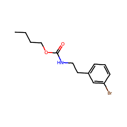 CCCCOC(=O)NCCc1cccc(Br)c1